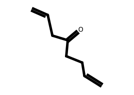 C=CCCC(=O)CC=C